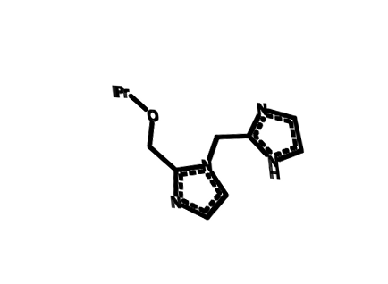 CC(C)OCc1nccn1Cc1ncc[nH]1